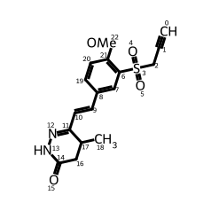 C#CCS(=O)(=O)c1cc(C=CC2=NNC(=O)CC2C)ccc1OC